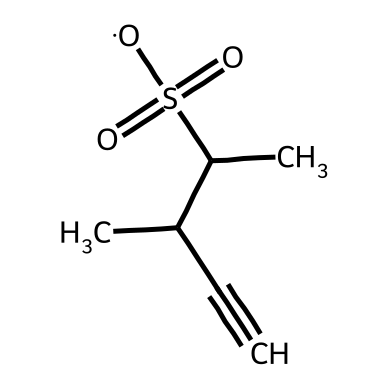 C#CC(C)C(C)S([O])(=O)=O